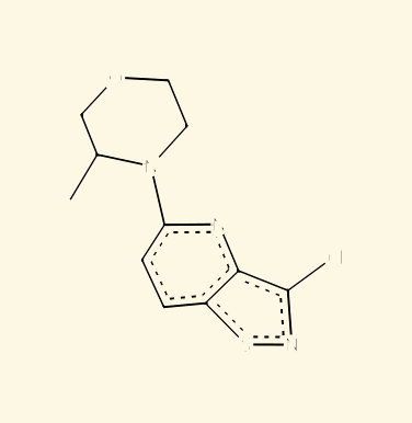 CC1COCCN1c1ccc2snc(Cl)c2n1